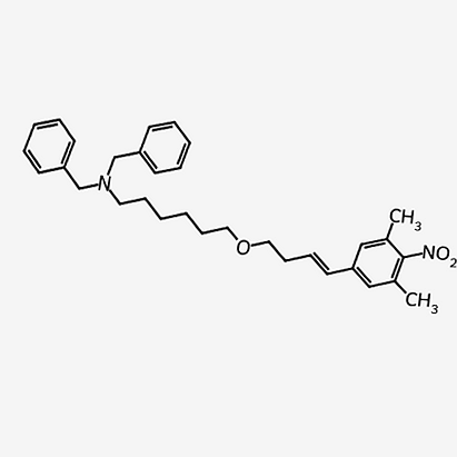 Cc1cc(/C=C/CCOCCCCCCN(Cc2ccccc2)Cc2ccccc2)cc(C)c1[N+](=O)[O-]